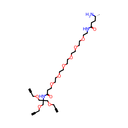 C#CCOCC(COCC#C)(COCC#C)NC(=O)CCOCCOCCOCCOCCOCCOCCNC(=O)CC[C@@H](C)N